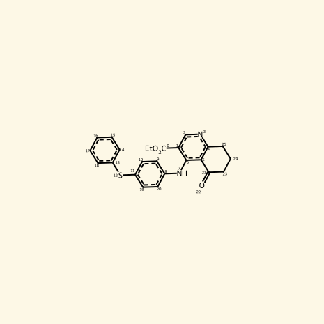 CCOC(=O)c1cnc2c(c1Nc1ccc(Sc3ccccc3)cc1)C(=O)CCC2